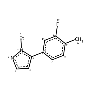 CCn1nccc1-c1ccc(C)c(F)c1